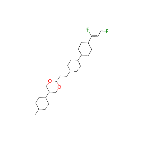 CC1CCC(C2COC(CCC3CCC(C4CCC(/C(F)=C/CF)CC4)CC3)OC2)CC1